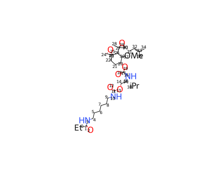 CCC(=O)NCCCCCCNC(=O)OC[C@H](NC(=O)OC1CC[C@]2(CO2)C(C2(C)O[C@@H]2CC=C(C)C)C1OC)C(C)C